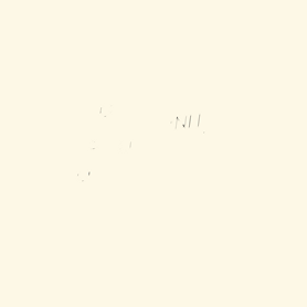 CS(=O)(=O)OCN